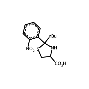 CCCCC1(c2ccccc2[N+](=O)[O-])NC(C(=O)O)CS1